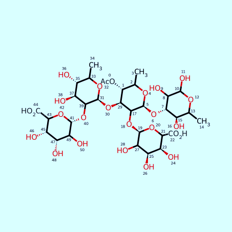 CC(=O)O[C@@H]1C(C)O[C@@H](O[C@@H]2C(O)C(O)OC(C)[C@H]2O)C(O[C@H]2OC(C(=O)O)[C@@H](O)[C@@H](O)C2O)[C@H]1O[C@@H]1OC(C)[C@@H](O)[C@H](O)C1O[C@H]1OC(C(=O)O)[C@@H](O)[C@@H](O)C1O